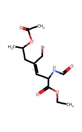 CCOC(=O)C(/C=C(\CBr)CC(C)OC(C)=O)NC=O